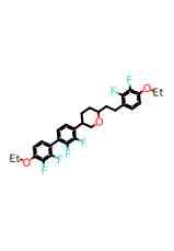 CCOc1ccc(CCC2CCC(c3ccc(-c4ccc(OCC)c(F)c4F)c(F)c3F)CO2)c(F)c1F